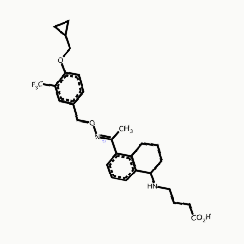 C/C(=N\OCc1ccc(OCC2CC2)c(C(F)(F)F)c1)c1cccc2c1CCCC2NCCCC(=O)O